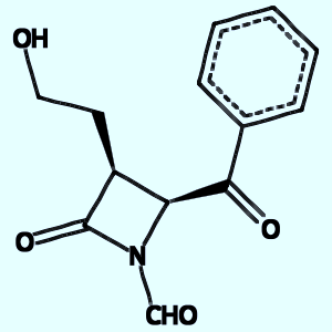 O=CN1C(=O)[C@@H](CCO)[C@H]1C(=O)c1ccccc1